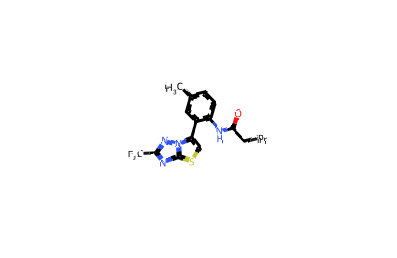 Cc1ccc(NC(=O)CC(C)C)c(-c2csc3nc(C(F)(F)F)nn23)c1